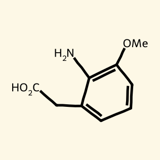 COc1cccc(CC(=O)O)c1N